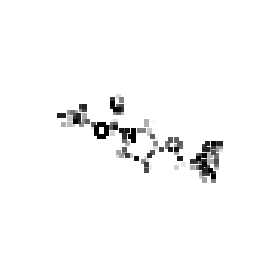 CC(C)(C)OC(=O)N1CCC(OC[SH](=O)=O)C1